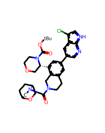 CC(C)(C)OC(=O)N1CCOC[C@H]1c1cc(-c2cnc3[nH]cc(Cl)c3c2)cc2c1CN(C(=O)N1CC3CCC1CO3)CC2